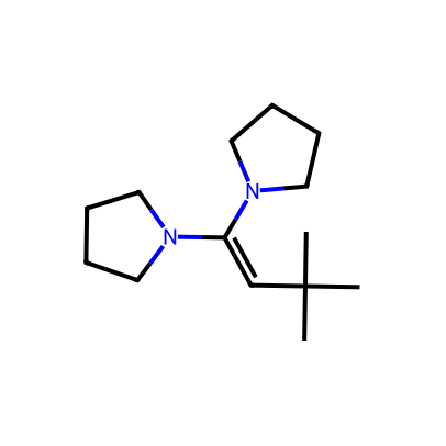 CC(C)(C)C=C(N1CCCC1)N1CCCC1